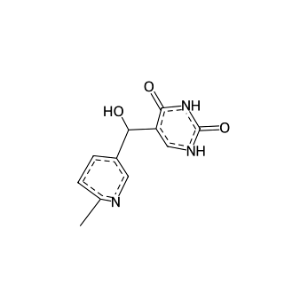 Cc1ccc(C(O)c2c[nH]c(=O)[nH]c2=O)cn1